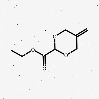 C=C1COC(C(=O)OCC)OC1